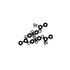 O=S(=O)(c1ccc(Oc2cc(Br)cc(-c3ccccc3)c2)cc1)c1ccc(Oc2cc(Oc3ccc(S(=O)(=O)c4ccc(Oc5cc(Br)cc(-c6ccccc6)c5)cc4)cc3)cc(-c3ccccc3)c2)cc1